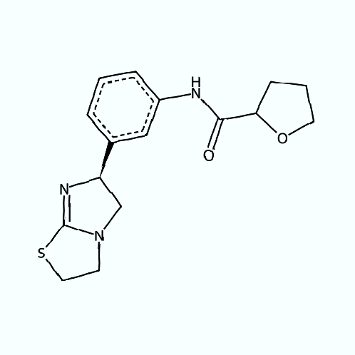 O=C(Nc1cccc([C@H]2CN3CCSC3=N2)c1)C1CCCO1